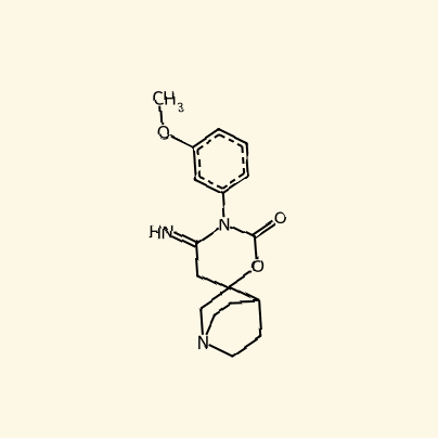 COc1cccc(N2C(=N)CC3(CN4CCC3CC4)OC2=O)c1